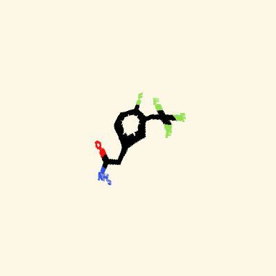 NC(=O)Cc1ccc(F)c(C(F)(F)F)c1